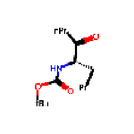 CCCC(=O)[C@H](CC(C)C)NC(=O)OC(C)(C)C